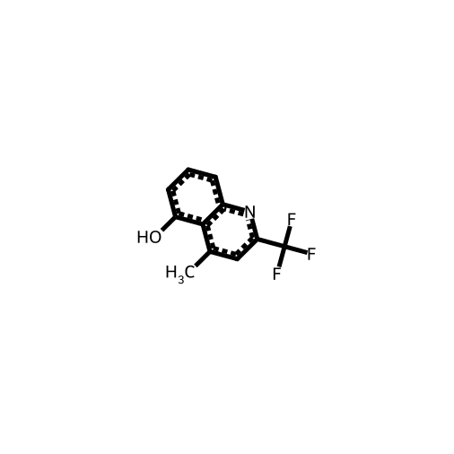 Cc1cc(C(F)(F)F)nc2cccc(O)c12